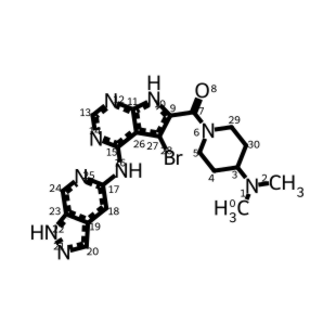 CN(C)C1CCN(C(=O)c2[nH]c3ncnc(Nc4cc5cn[nH]c5cn4)c3c2Br)CC1